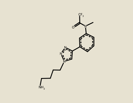 CN(C(=O)C(F)(F)F)c1cccc(-c2cn(CCCCN)nn2)c1